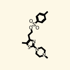 Cc1ccc(S(=O)(=O)OCCc2nc(N3CCN(C)CC3)sc2C)cc1